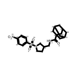 O=C(NCC1CCN(S(=O)(=O)c2ccc([N+](=O)[O-])cc2)C1)C12CC3CC(CC(C3)C1)C2